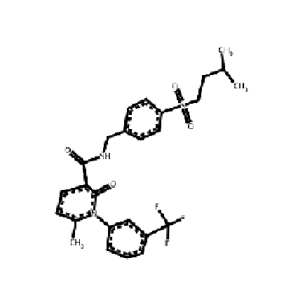 Cc1ccc(C(=O)NCc2ccc(S(=O)(=O)CCC(C)C)cc2)c(=O)n1-c1cccc(C(F)(F)F)c1